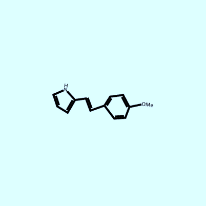 COc1ccc(C=Cc2ccc[nH]2)cc1